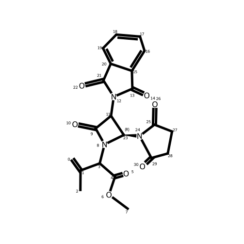 C=C(C)C(C(=O)OC)N1C(=O)C(N2C(=O)c3ccccc3C2=O)[C@H]1N1C(=O)CCC1=O